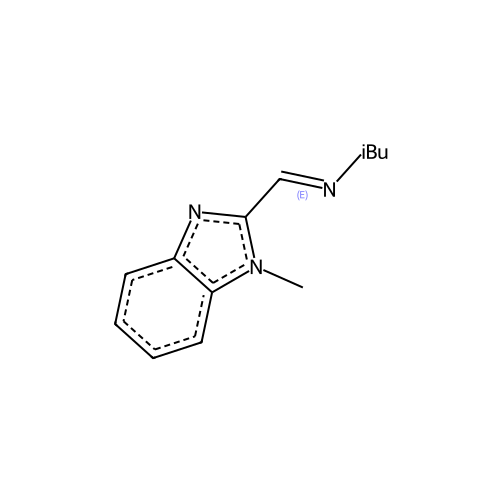 CCC(C)/N=C/c1nc2ccccc2n1C